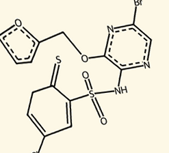 O=S(=O)(Nc1ncc(Br)nc1OCc1ccco1)C1=CC(Cl)=CCC1=S